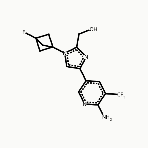 Nc1ncc(-c2cn(C34CC(F)(C3)C4)c(CO)n2)cc1C(F)(F)F